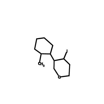 CC1CCCCC1C1COCCC1I